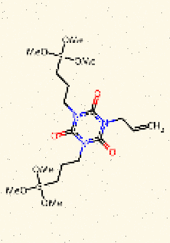 C=CCn1c(=O)n(CCC[Si](OC)(OC)OC)c(=O)n(CCC[Si](OC)(OC)OC)c1=O